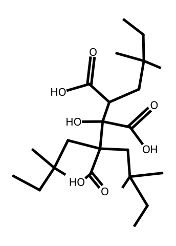 CCC(C)(C)CC(C(=O)O)C(O)(C(=O)O)C(CC(C)(C)CC)(CC(C)(C)CC)C(=O)O